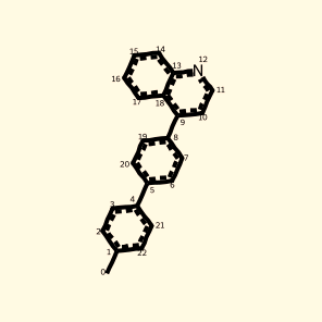 Cc1ccc(-c2ccc(-c3ccnc4ccccc34)cc2)cc1